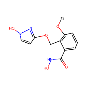 CCOc1cccc(C(=O)NO)c1COc1ccn(O)n1